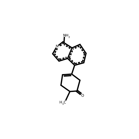 CC1CC=C(c2cccc3c(N)nccc23)CC1=O